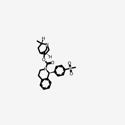 C[C@H]1CC2CCN1C[C@H]2OC(=O)N1CCc2ccccc2[C@@H]1c1ccc(S(C)(=O)=O)cc1